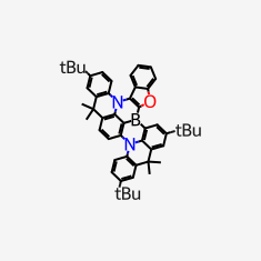 CC(C)(C)c1ccc2c(c1)C(C)(C)c1cc(C(C)(C)C)cc3c1N2c1ccc2c4c1B3c1oc3ccccc3c1N4c1ccc(C(C)(C)C)cc1C2(C)C